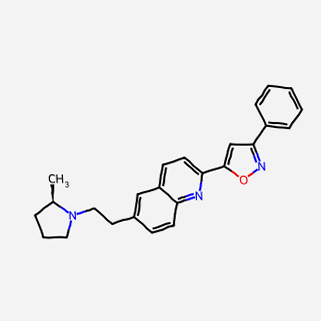 C[C@@H]1CCCN1CCc1ccc2nc(-c3cc(-c4ccccc4)no3)ccc2c1